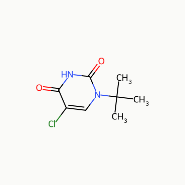 CC(C)(C)n1cc(Cl)c(=O)[nH]c1=O